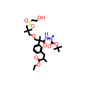 CCOC(=O)C(C)Cc1cccc(C(C)(COCC(C)(C)CS(=O)(=O)CCO)C(=O)NN(C)C(=O)OC(C)(C)C)c1